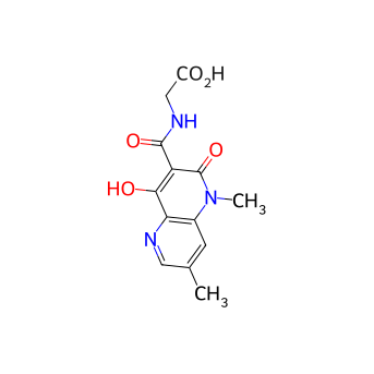 Cc1cnc2c(O)c(C(=O)NCC(=O)O)c(=O)n(C)c2c1